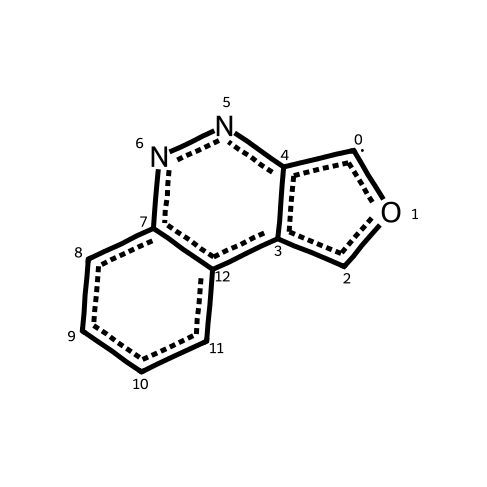 [c]1occ2c1nnc1ccccc12